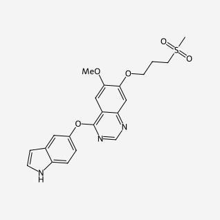 COc1cc2c(Oc3ccc4[nH]ccc4c3)ncnc2cc1OCCCS(C)(=O)=O